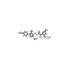 CCn1cc(NC(=O)CCc2noc(-c3ccc(O)cc3)c2C(C)=O)c(C(=O)O)c1.[KH]